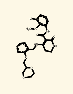 COc1c(Cl)cccc1NC(=S)C1=C(NCc2ccncc2OCC2COCCO2)CCNC1=O